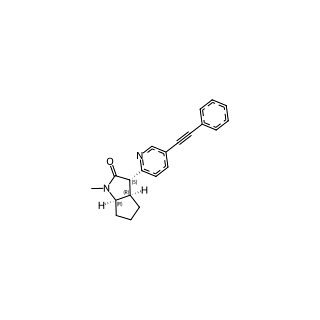 CN1C(=O)[C@H](c2ccc(C#Cc3ccccc3)cn2)[C@H]2CCC[C@H]21